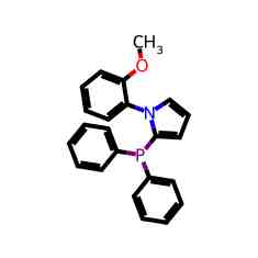 COc1ccccc1-n1cccc1P(c1ccccc1)c1ccccc1